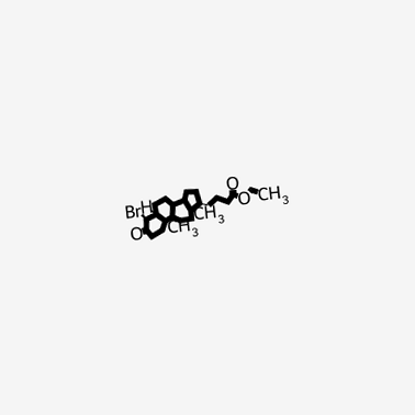 CCOC(=O)CCC[C@H]1CCC2C3CC[C@@H]4[C@H](Br)C(=O)CC[C@]4(C)C3CC[C@@]21C